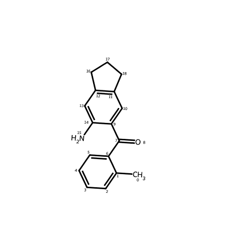 Cc1ccccc1C(=O)c1cc2c(cc1N)CCC2